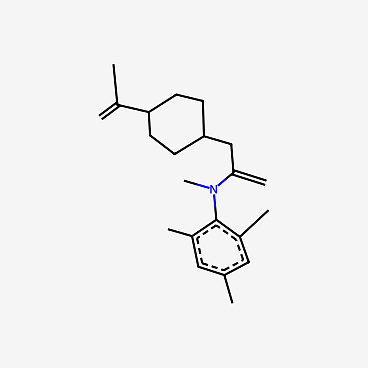 C=C(C)C1CCC(CC(=C)N(C)c2c(C)cc(C)cc2C)CC1